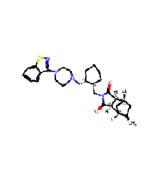 C=C1C[C@@H]2C[C@H]1[C@H]1C(=O)N(C[C@@H]3CCCC[C@H]3CN3CCN(c4nsc5ccccc45)CC3)C(=O)[C@@H]21